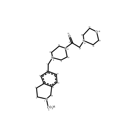 O=C(O)N1CCc2cc(CN3CCN(C(=O)CN4CCOCC4)CC3)ccc2C1